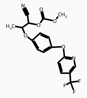 COC(=O)OC(C#N)C(C)Oc1ccc(Oc2ccc(C(F)(F)F)cn2)cc1